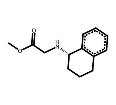 COC(=O)CN[C@H]1CCCc2ccccc21